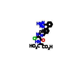 CCCCc1nc(Cl)c(C(=O)NC(CC(=O)O)C(=O)O)n1Cc1ccc(-c2ccccc2-c2nn[nH]n2)cc1